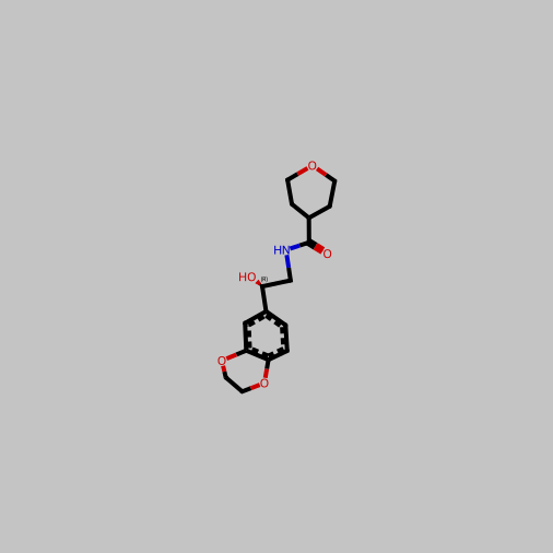 O=C(NC[C@H](O)c1ccc2c(c1)OCCO2)C1CCOCC1